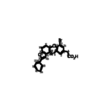 O=C(O)Cc1cc(Br)c(Oc2ccc3oc(-c4ccccc4)cc3c2)c(Br)c1